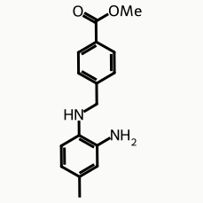 COC(=O)c1ccc(CNc2ccc(C)cc2N)cc1